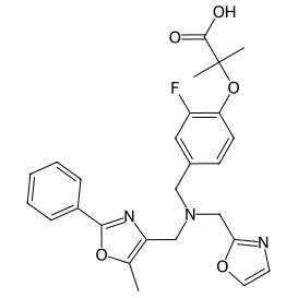 Cc1oc(-c2ccccc2)nc1CN(Cc1ccc(OC(C)(C)C(=O)O)c(F)c1)Cc1ncco1